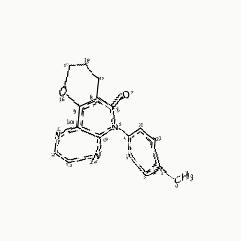 Cc1ccc(-n2c(=O)c3c(c4nccnc42)OCCC3)cc1